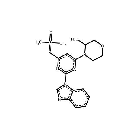 CC1COCCN1c1cc(N=S(C)(C)=O)nc(-n2cnc3ccccc32)n1